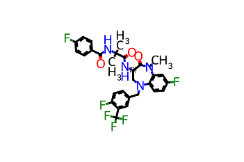 CN1C(=O)[C@H](NC(=O)C(C)(C)NC(=O)c2ccc(F)cc2)CN(Cc2ccc(F)c(C(F)(F)F)c2)c2ccc(F)cc21